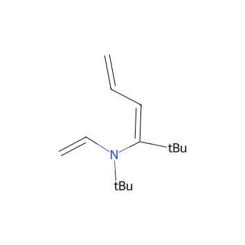 C=C/C=C(\N(C=C)C(C)(C)C)C(C)(C)C